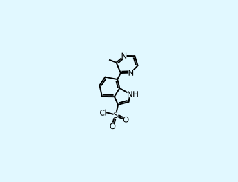 Cc1nccnc1-c1cccc2c(S(=O)(=O)Cl)c[nH]c12